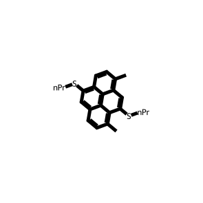 CCCSc1cc2ccc(C)c3c(SCCC)cc4c(C)ccc1c4c23